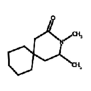 CC1CC2(CCCCC2)CC(=O)N1C